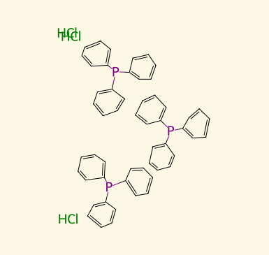 Cl.Cl.Cl.c1ccc(P(c2ccccc2)c2ccccc2)cc1.c1ccc(P(c2ccccc2)c2ccccc2)cc1.c1ccc(P(c2ccccc2)c2ccccc2)cc1